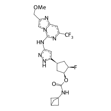 COCc1cn2c(Nc3cc([C@H]4C[C@@H](F)[C@@H](OC(=O)NC56CC(C5)C6)C4)[nH]n3)nc(C(F)(F)F)cc2n1